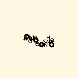 CN1CCCC(NC(=O)c2cc(Oc3ccc4nc(N[C@@H]5CCCCC5=O)sc4c3)ccn2)C1